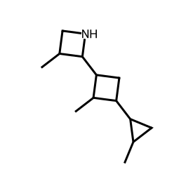 CC1CC1C1CC(C2NCC2C)C1C